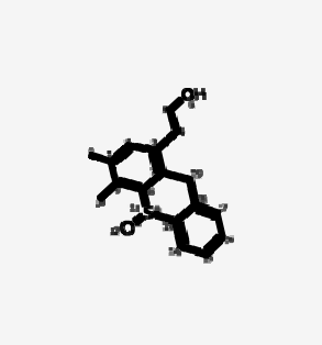 Cc1cc(CCO)c2c(c1C)[S+]([O-])c1ccccc1C2